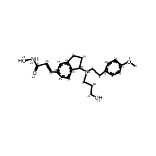 COc1ccc(CCN(CCCO)C2CCc3cc(C=CC(=O)NO)ccc32)cc1